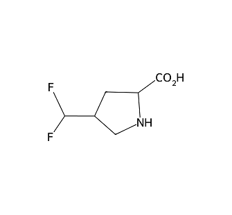 O=C(O)C1CC(C(F)F)CN1